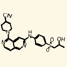 CC(O)CS(=O)(=O)c1ccc(Nc2cc3c(N4CCC(C#N)CC4)nccc3cn2)cc1